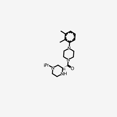 Cc1cccc(N2CCN(C(=O)[C@H]3CN(C(C)C)CCN3)CC2)c1C